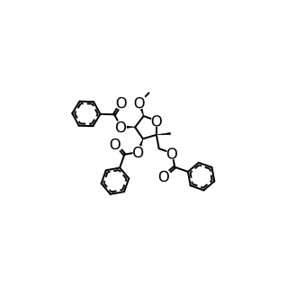 CO[C@H]1O[C@](C)(COC(=O)c2ccccc2)[C@@H](OC(=O)c2ccccc2)[C@H]1OC(=O)c1ccccc1